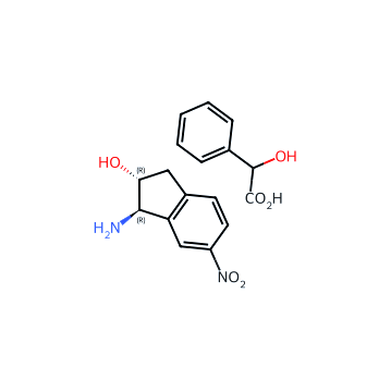 N[C@@H]1c2cc([N+](=O)[O-])ccc2C[C@H]1O.O=C(O)C(O)c1ccccc1